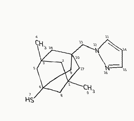 CC12CC3(C)CC(S)(C1)CC(Cn1cccn1)(C2)C3